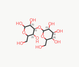 OCC1OC(O[C@@H]2[C@H](O)C(O)OC(CO)[C@@H]2O)[C@@H](O)[C@@H](O)[C@H]1O